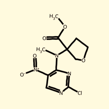 COC(=O)C1(N(C)c2nc(Cl)ncc2[N+](=O)[O-])CCOC1